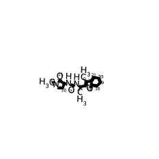 Cc1c([C@@H](C)NC(=O)NC2CCN(C)C2=O)oc2ccccc12